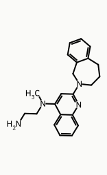 CN(CCN)c1cc(N2CCCc3ccccc3C2)nc2ccccc12